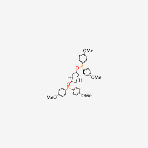 COc1ccc(P(O[C@H]2C[C@H]3C[C@@H](OP(c4ccc(OC)cc4)c4ccc(OC)cc4)[C@H]3C2)c2ccc(OC)cc2)cc1